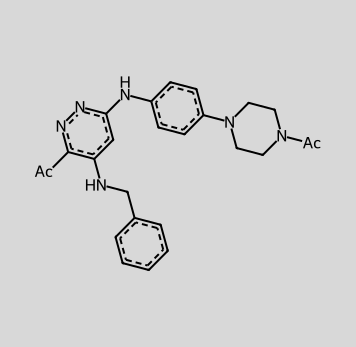 CC(=O)c1nnc(Nc2ccc(N3CCN(C(C)=O)CC3)cc2)cc1NCc1ccccc1